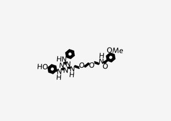 COc1cccc(C(=O)NCCOCCOCCNc2nc(Nc3ccccc3)nc(Nc3ccc(O)cc3)n2)c1